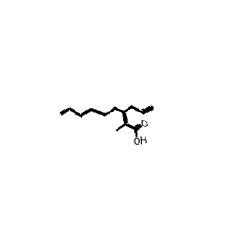 C=CCC(CCCCCC)=C(C)C(=O)O